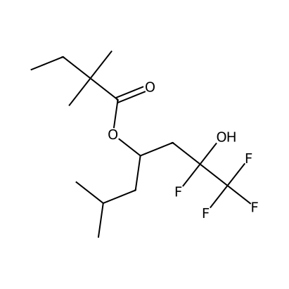 CCC(C)(C)C(=O)OC(CC(C)C)CC(O)(F)C(F)(F)F